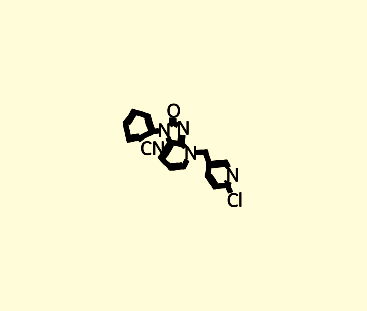 N#Cc1ccccc1-n1c2cccn(Cc3ccc(Cl)nc3)c-2nc1=O